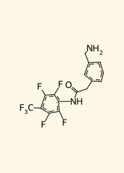 NCc1cccc(CC(=O)Nc2c(F)c(F)c(C(F)(F)F)c(F)c2F)c1